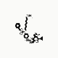 Cn1ncc(-c2nc(NC3CCC(N(CCCCCCCCN)C(=O)OCc4ccccc4)CC3)ncc2Cl)c1CC1CC1